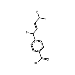 O=C(O)c1ccc(C(F)C=CC(F)F)cc1